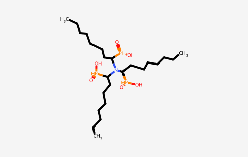 CCCCCCCC(N(C(CCCCCCC)[PH](=O)O)C(CCCCCCC)[PH](=O)O)[PH](=O)O